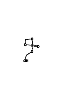 O=P1(OCO)OCO1